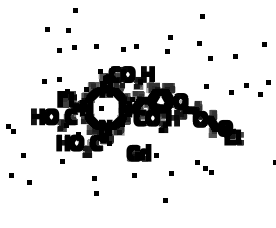 CCOCCOCCOc1ccc(CC(C(=O)O)N2CCN(CC(=O)O)CCN(C(CC)C(=O)O)CCN(CC(=O)O)CC2)cc1.[Gd]